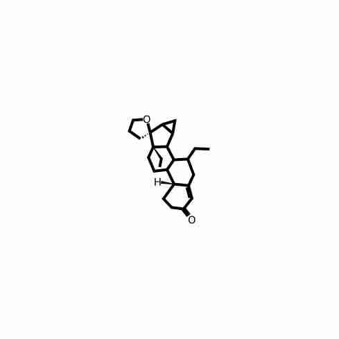 CCC1CC2=CC(=O)CC[C@@H]2C2CC[C@@]3(CC)C(C4CC4[C@@]34CCCO4)C12